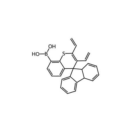 C=CC1=C(C=C)C2(c3ccccc3C3C=CC=CC32)c2cccc(B(O)O)c2S1